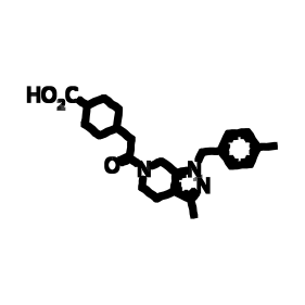 Cc1ccc(Cn2nc(C)c3c2CN(C(=O)CC2CCC(C(=O)O)CC2)CC3)cc1